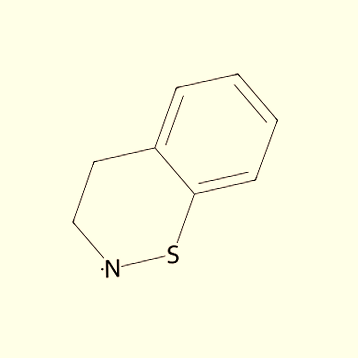 c1ccc2c(c1)CC[N]S2